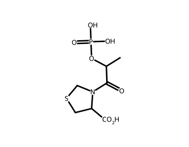 CC(OP(=O)(O)O)C(=O)N1CSCC1C(=O)O